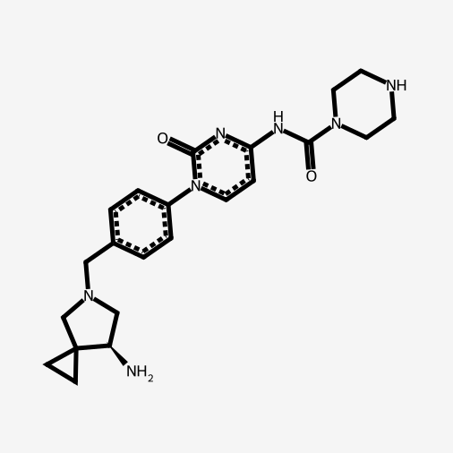 N[C@@H]1CN(Cc2ccc(-n3ccc(NC(=O)N4CCNCC4)nc3=O)cc2)CC12CC2